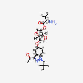 CC(=O)c1nn(CC(C)(C)C)c2ccc(O[C@@H]3CO[C@H]4[C@@H]3OC[C@H]4OC(=O)[C@@H](N)C(C)C)cc12